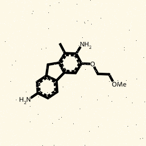 COCCOc1cc2c(c(C)c1N)Cc1cc(N)ccc1-2